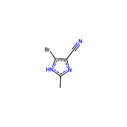 Cc1nc(C#N)c(Br)[nH]1